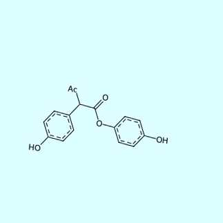 CC(=O)C(C(=O)Oc1ccc(O)cc1)c1ccc(O)cc1